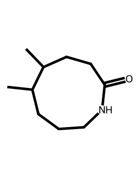 CC1CCCNC(=O)CCC1C